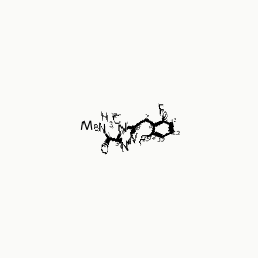 CNC(=O)c1nnc(Cc2c(F)cccc2F)n1C